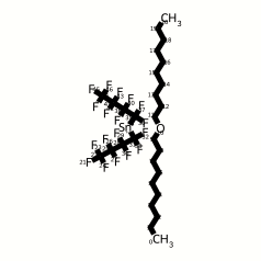 CCCCCCCCCCOCCCCCCCCCC.FC(F)(F)C(F)(F)C(F)(F)[C](F)(F)[Sn][C](F)(F)C(F)(F)C(F)(F)C(F)(F)F